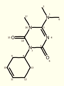 CN(C)c1nc(=O)n(C2CC=CCC2)c(=O)n1C